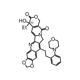 CC[C@@]1(O)C(=O)OCc2c1cc1n(c2=O)Cc2c-1nc1cc3c(cc1c2CCc1ccccc1N1CCOCC1)OCO3